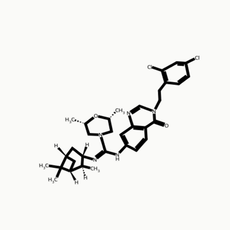 C[C@@H]1[C@@H](/N=C(/Nc2ccc3c(=O)n(CCc4ccc(Cl)cc4Cl)cnc3c2)N2C[C@@H](C)O[C@@H](C)C2)C[C@@H]2C[C@H]1C2(C)C